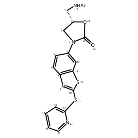 CC(=O)NC[C@H]1CN(c2ccc3nc(Sc4ccccn4)sc3c2)C(=O)O1